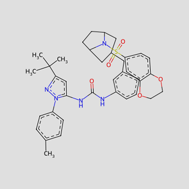 Cc1ccc(-n2nc(C(C)(C)C)cc2NC(=O)Nc2cccc(CC3CC4CCC(C3)N4S(=O)(=O)c3ccc4c(c3)OCCO4)c2)cc1